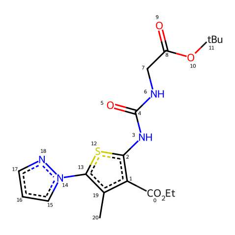 CCOC(=O)c1c(NC(=O)NCC(=O)OC(C)(C)C)sc(-n2cccn2)c1C